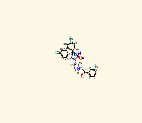 C[N+]1(CC(=O)c2cccc(F)c2)CC[C@@H](N2CC(c3ccc(F)cc3)(c3ccc(F)cc3)NC2=O)C1